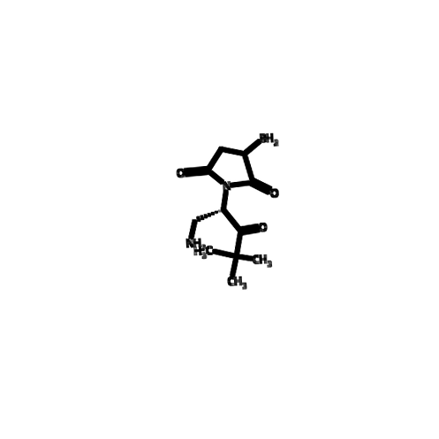 BC1CC(=O)N([C@@H](CN)C(=O)C(C)(C)C)C1=O